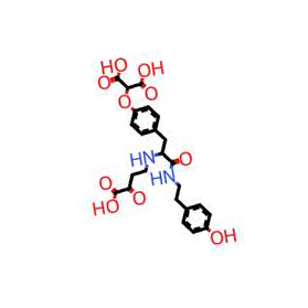 O=C(O)C(=O)CCNC(Cc1ccc(OC(C(=O)O)C(=O)O)cc1)C(=O)NCCc1ccc(O)cc1